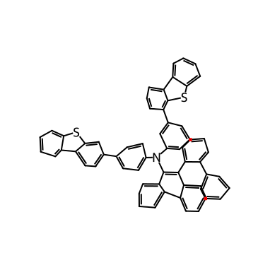 c1ccc(-c2ccccc2-c2c(N(c3ccc(-c4ccc5c(c4)sc4ccccc45)cc3)c3cccc(-c4cccc5c4sc4ccccc45)c3)c3ccccc3c3ccccc23)cc1